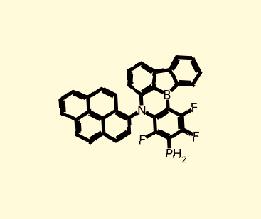 Fc1c(F)c2c(c(F)c1P)N(c1ccc3ccc4cccc5ccc1c3c45)c1cccc3c1B2c1ccccc1-3